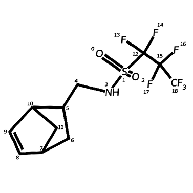 O=S(=O)(NCC1CC2C=CC1C2)C(F)(F)C(F)(F)C(F)(F)F